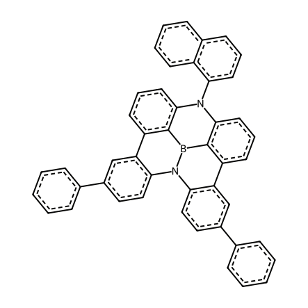 c1ccc(-c2ccc3c(c2)-c2cccc4c2B2c5c(cccc5N4c4cccc5ccccc45)-c4cc(-c5ccccc5)ccc4N23)cc1